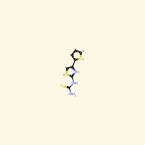 NC(=S)Nc1nc(-c2cccs2)cs1